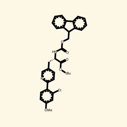 CCc1cc(OC)ccc1-c1ccc(C[C@H](NC(=O)OCC2c3ccccc3-c3ccccc32)C(=O)OC(C)(C)C)cn1